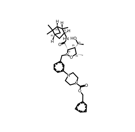 C[C@@H]1[C@@H](NC(=O)[C@@H]2[C@H]([C@H](C)O)[C@H](C)ON2Cc2cccc(N3CCN(C(=O)OCc4ccccc4)CC3)c2)C[C@H]2C[C@@H]1C2(C)C